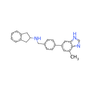 Cc1cc(-c2ccc(CNC3Cc4ccccc4C3)cc2)cc2[nH]cnc12